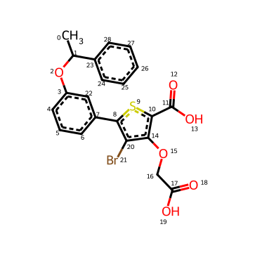 CC(Oc1cccc(-c2sc(C(=O)O)c(OCC(=O)O)c2Br)c1)c1ccccc1